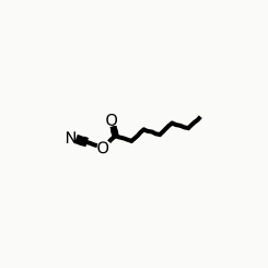 CCCCCCC(=O)OC#N